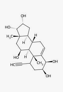 C#CC1C[C@H](O)[C@H](O)C2=CC[C@@H]3[C@H]([C@@H](O)C[C@]4(C)[C@H](O)[C@H](O)C[C@@H]34)[C@]21C